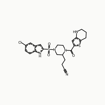 N#CCCC1CN(S(=O)(=O)c2cc3cc(Cl)ccc3[nH]2)CCN1C(=O)c1cc2c(s1)CCCN2